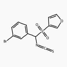 O=S(=O)(c1ccoc1)C(N=C=S)c1cccc(Br)c1